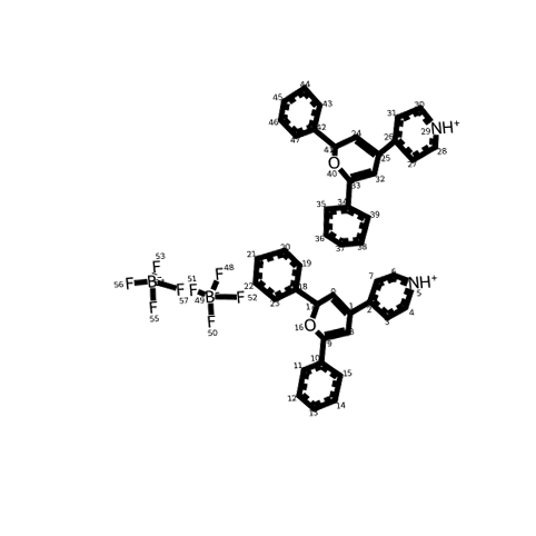 C1=C(c2cc[nH+]cc2)C=C(c2ccccc2)OC1c1ccccc1.C1=C(c2cc[nH+]cc2)C=C(c2ccccc2)OC1c1ccccc1.F[B-](F)(F)F.F[B-](F)(F)F